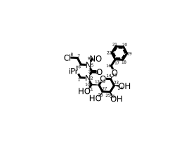 CC(C)CN(C(=O)N(CCCl)N=O)C(O)[C@H]1O[C@H](OCc2ccccc2)[C@@H](O)[C@@H](O)[C@@H]1O